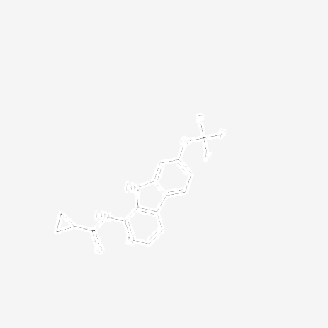 O=C(Nc1nccc2c1[nH]c1cc(OC(F)(F)F)ccc12)C1CC1